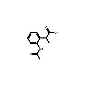 CC(=O)Nc1ccccc1C(C)C(=O)O